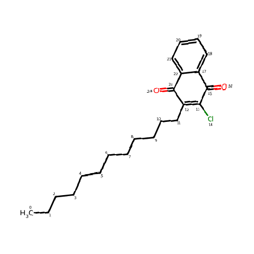 CCCCCCCCCCCCC1=C(Cl)C(=O)c2ccccc2C1=O